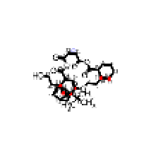 CC(C)(C)C1(C(=O)OCCC2CC3C=CC2(C(=O)OC(=O)/C=C\C(=O)OC(=O)C24C=CC(CC2)CC4CCO)CC3)CC2C=CC1C2